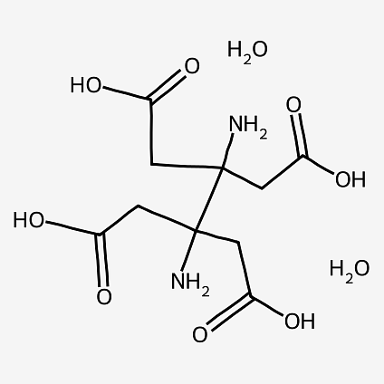 NC(CC(=O)O)(CC(=O)O)C(N)(CC(=O)O)CC(=O)O.O.O